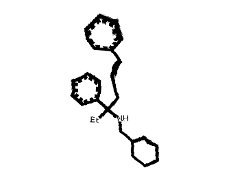 CCC(C/C=C/c1ccccc1)(NCC1CCCCC1)c1ccccc1